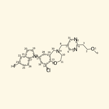 COCCc1ncc(CN2CCOc3c(Cl)cc(-n4ccc5cc(F)ccc54)cc3C2)cn1